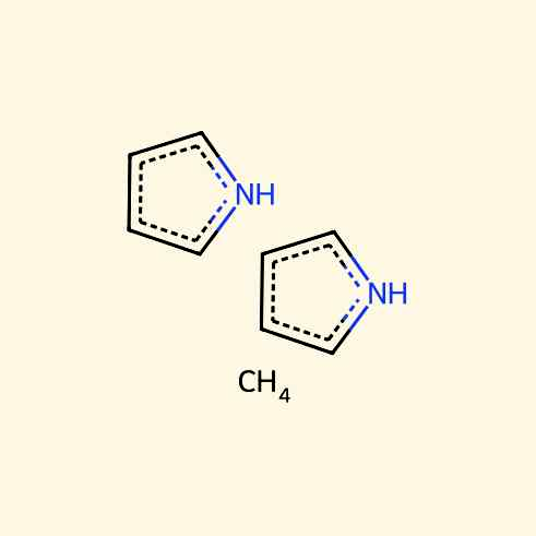 C.c1cc[nH]c1.c1cc[nH]c1